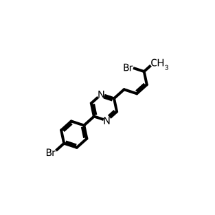 CC(Br)/C=C\Cc1cnc(-c2ccc(Br)cc2)cn1